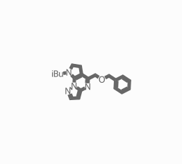 CCC(C)N1CCc2c(COCc3ccccc3)nc3ccnn3c21